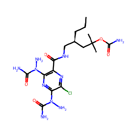 CCC[C@H](CNC(=O)c1nc(Cl)c(N(N)C(N)=O)nc1N(N)C(N)=O)CC(C)(C)OC(N)=O